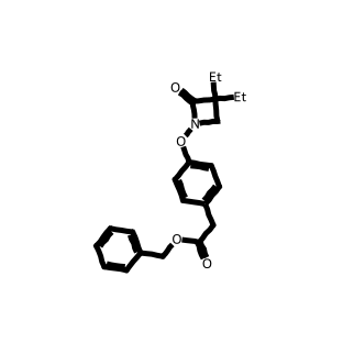 CCC1(CC)CN(Oc2ccc(CC(=O)OCc3ccccc3)cc2)C1=O